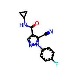 N#Cc1c(C(=O)NC2CC2)cnn1-c1ccc(F)cc1